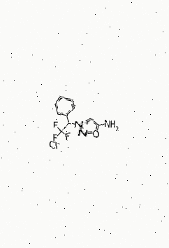 Nc1c[n+](C(c2ccccc2)C(F)(F)F)no1.[Cl-]